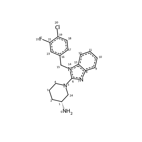 N[C@@H]1CCCN(c2nc3ccccc3n2Cc2ccc(Cl)c(F)c2)C1